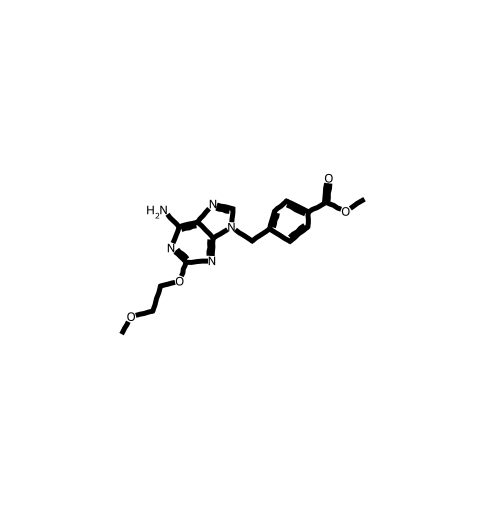 COCCOc1nc(N)c2ncn(Cc3ccc(C(=O)OC)cc3)c2n1